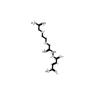 N=C(N)COCCOCC(=N)NOC(=O)/C=C/C(=O)O